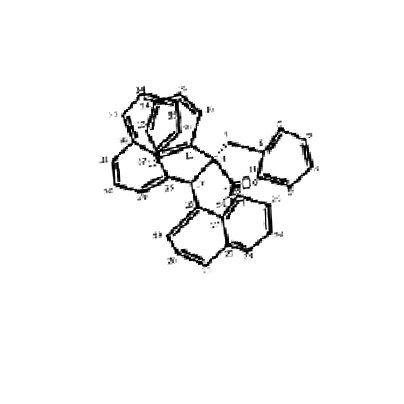 O=C(O)[C@](Cc1ccccc1)(c1ccccc1)C(c1cccc2ccccc12)c1cccc2ccccc12